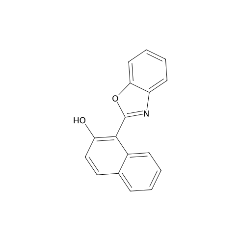 Oc1ccc2ccccc2c1-c1nc2ccccc2o1